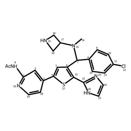 CC(=O)Nc1cc(-c2cc(C(c3ccc(Cl)cc3)N(C)C3CNC3)c(-c3ncc[nH]3)s2)ccn1